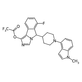 Cn1ccc2c(N3CCC(C4c5c(F)cccc5-c5c(OC(=O)C(F)(F)F)ncn54)CC3)cccc21